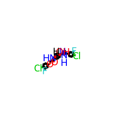 O=C(COc1ccc(Cl)c(F)c1)NC12CCC(c3ncc(-c4ccc(Cl)c(F)c4)[nH]3)(CC1)[C@@H](O)C2